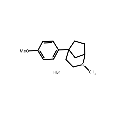 Br.COc1ccc(C23CCC(C2)N(C)CC3)cc1